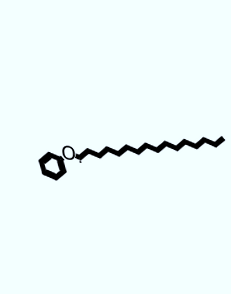 CCCCCCCCCCCCCCC[CH]Oc1ccccc1